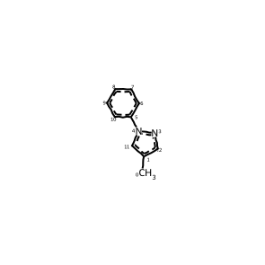 Cc1[c]nn(-c2ccccc2)c1